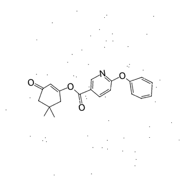 CC1(C)CC(=O)C=C(OC(=O)c2ccc(Oc3ccccc3)nc2)C1